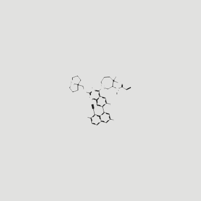 C#Cc1c(F)ccc2cc(O)cc(-c3c(Cl)cc4c(N5CCCC(C)(C)C(N(C)C(=O)C=C)C5)nc(OCC56CCCN5CCC6)nc4c3F)c12